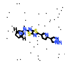 CN(c1nc2sc(-c3ccc(-c4cn[nH]c4)nc3)nc2s1)C1C[C@H]2CC[C@@H](C1)N2